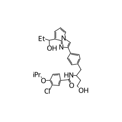 CCC(O)c1cccn2cc(-c3ccc(CC(CCO)NC(=O)c4ccc(OC(C)C)c(Cl)c4)cc3)nc12